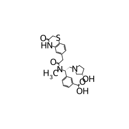 CN(C(=O)Cc1ccc2c(c1)NC(=O)CS2)[C@H](CN1CC[C@H](O)C1)c1cccc(C(=O)O)c1